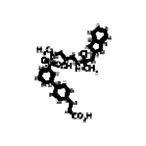 CN(C[C@H](O)CNC(C)(C)CC1Cc2ccccc2C1)S(=O)(=O)c1cccc(-c2ccc(CCC(=O)O)cc2)c1